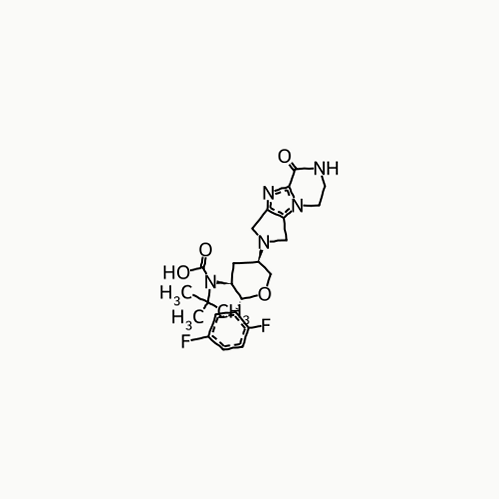 CC(C)(C)N(C(=O)O)[C@H]1C[C@@H](N2Cc3nc4n(c3C2)CCNC4=O)CO[C@@H]1c1cc(F)ccc1F